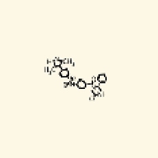 Cc1n[nH]c(C)c1-c1ccc(S(=O)(=O)N[C@H]2CC[C@H](C(=O)N3CC(=O)NC[C@@H]3c3ccccc3)CC2)cc1